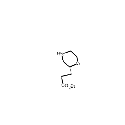 CCOC(=O)CC[C@@H]1CNCCO1